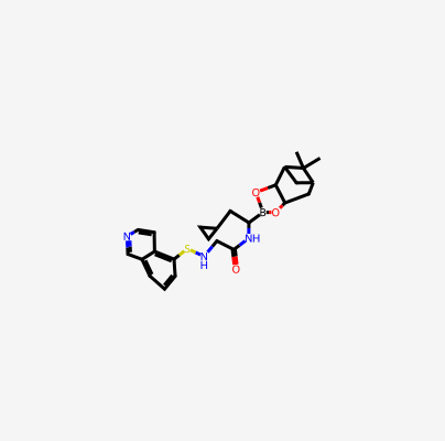 CC1(C)C2CC3OB(C(CC4CC4)NC(=O)CNSc4cccc5cnccc45)OC3C1C2